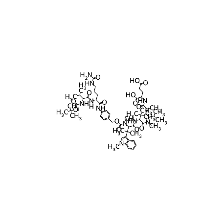 C/C(=C\C(C(C)C)N(C)C(=O)C(NC(=O)C(N(C)C(=O)OCc1ccc(NC(=O)C(CCCNC(N)=O)NC(=O)C(NC(=O)OC(C)(C)C)C(C)C)cc1)C(C)(C)c1cn(C)c2ccccc12)C(C)(C)C)C(=O)NC(CCC(=O)O)C(=O)O